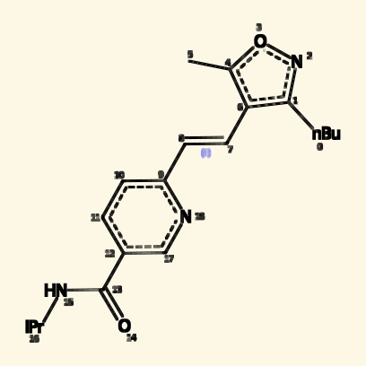 CCCCc1noc(C)c1/C=C/c1ccc(C(=O)NC(C)C)cn1